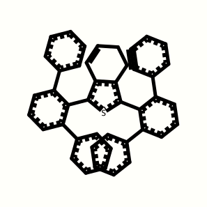 c1cccc(-c2cccc(-c3ccccc3)c2-c2sc(-c3c(-c4ccccc4)cccc3-c3ccccc3)c3c2CCC=C3)c#1